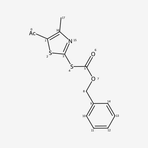 CC(=O)c1sc(SC(=O)OCc2ccccc2)nc1C